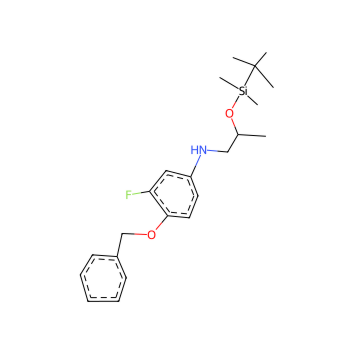 CC(CNc1ccc(OCc2ccccc2)c(F)c1)O[Si](C)(C)C(C)(C)C